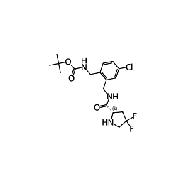 CC(C)(C)OC(=O)NCc1ccc(Cl)cc1CNC(=O)[C@@H]1CC(F)(F)CN1